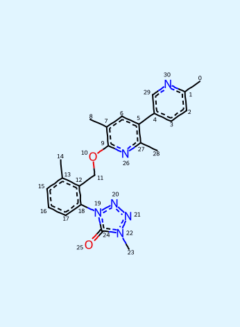 Cc1ccc(-c2cc(C)c(OCc3c(C)cccc3-n3nnn(C)c3=O)nc2C)cn1